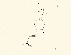 CC(C)(C)C1CCC(C=CC(=O)O)CC1